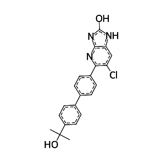 CC(C)(O)c1ccc(-c2ccc(-c3nc4nc(O)[nH]c4cc3Cl)cc2)cc1